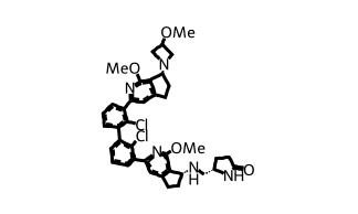 COc1nc(-c2cccc(-c3cccc(-c4cc5c(c(OC)n4)[C@H](NC[C@@H]4CCC(=O)N4)CC5)c3Cl)c2Cl)cc2c1[C@H](N1CC(OC)C1)CC2